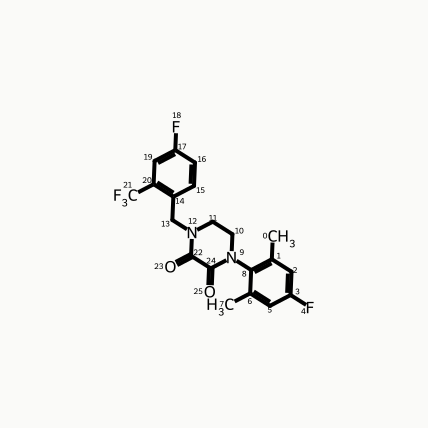 Cc1cc(F)cc(C)c1N1CCN(Cc2ccc(F)cc2C(F)(F)F)C(=O)C1=O